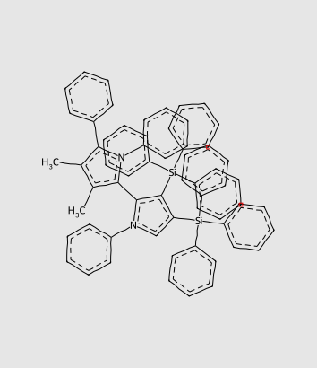 Cc1c(C)c(-c2c([Si](c3ccccc3)(c3ccccc3)c3ccccc3)c([Si](c3ccccc3)(c3ccccc3)c3ccccc3)cn2-c2ccccc2)n(-c2ccccc2)c1-c1ccccc1